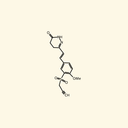 C#CCS(=O)(=O)c1cc(C=CC2=NNC(=O)CC2)ccc1OC